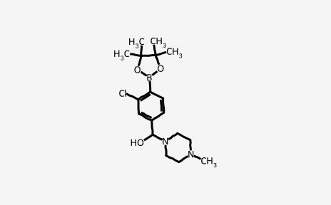 CN1CCN(C(O)c2ccc(B3OC(C)(C)C(C)(C)O3)c(Cl)c2)CC1